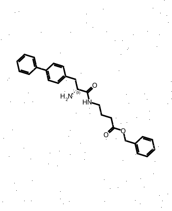 N[C@H](Cc1ccc(-c2ccccc2)cc1)C(=O)NCCCC(=O)OCc1ccccc1